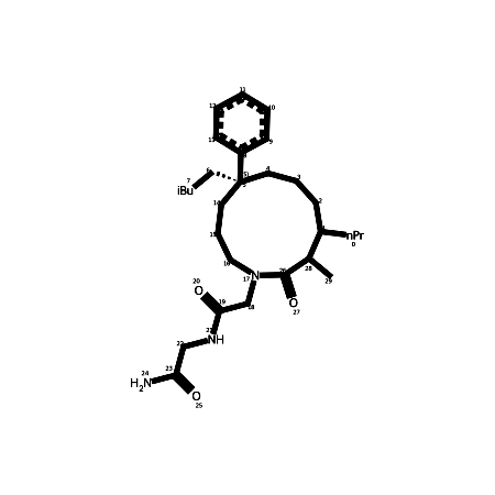 CCCC1CCC[C@](CC(C)CC)(c2ccccc2)CCCN(CC(=O)NCC(N)=O)C(=O)C1C